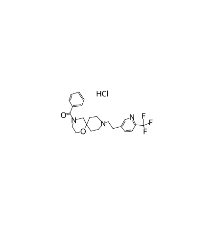 Cl.O=C(c1ccccc1)N1CCOC2(CCN(CCc3ccc(C(F)(F)F)nc3)CC2)C1